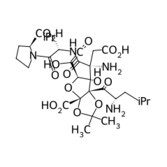 CC(C)C[C@H](N)C(=O)[C@@]12OC(C)(C)O[C@]1(C(=O)O)O[C@@H](C(O)=C=O)[C@@]2(O)[C@](N)(CC(=O)O)C(=O)N[C@H](C(=O)N1CCC[C@H]1C(=O)O)C(C)C